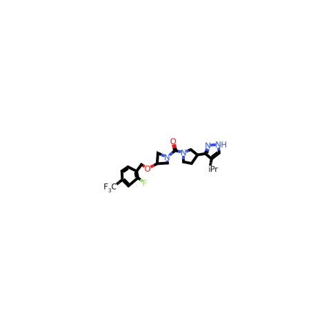 CC(C)c1c[nH]nc1C1CCN(C(=O)N2CC(OCc3ccc(C(F)(F)F)cc3F)C2)C1